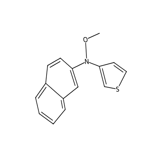 CON(c1ccsc1)c1ccc2ccccc2c1